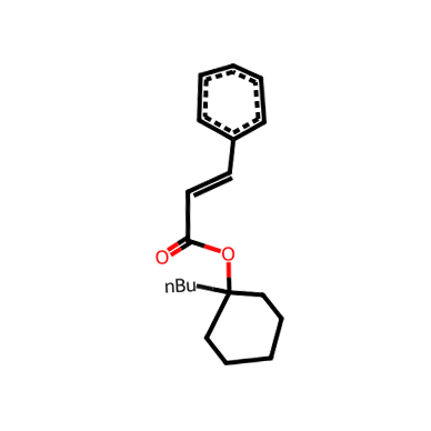 CCCCC1(OC(=O)C=Cc2ccccc2)CCCCC1